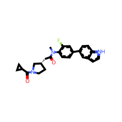 CN(C(=O)C[C@@H]1CCN(C(=O)C2CC2)C1)c1ccc(-c2ccc3[nH]ccc3c2)cc1F